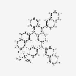 CC(C)(C)c1ccc(N(c2ccc3c(-c4ccc5ccccc5c4)c4ccccc4c(-c4ccc5ccccc5c4)c3c2)c2ccc3ccccc3n2)cc1